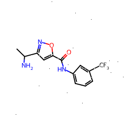 CC(N)c1cc(C(=O)Nc2cccc(C(F)(F)F)c2)on1